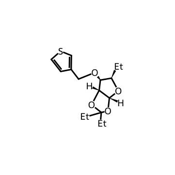 CC[C@H]1O[C@@H]2OC(CC)(CC)O[C@@H]2[C@H]1OCc1ccsc1